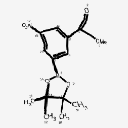 COC(=O)c1cc(B2OC(C)(C)C(C)(C)O2)cc([N+](=O)[O-])c1